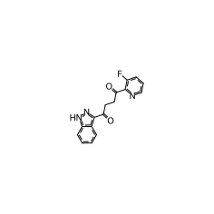 O=C(CCC(=O)c1n[nH]c2ccccc12)c1ncccc1F